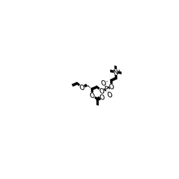 CCOC[C@H](COP(=O)([O-])OCC[N+](C)(C)C)OC(C)=O